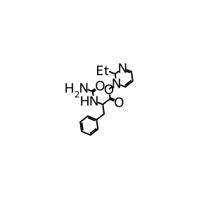 CCC1N=CC=CN1OC(=O)C(Cc1ccccc1)NC(N)=O